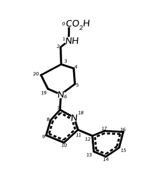 O=C(O)NCC1CCN(c2cccc(-c3ccccc3)n2)CC1